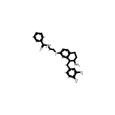 NC1CCc2ccc(OCCNC(=O)c3ccccc3)cc2C1Cc1ccc(Cl)c(Cl)c1